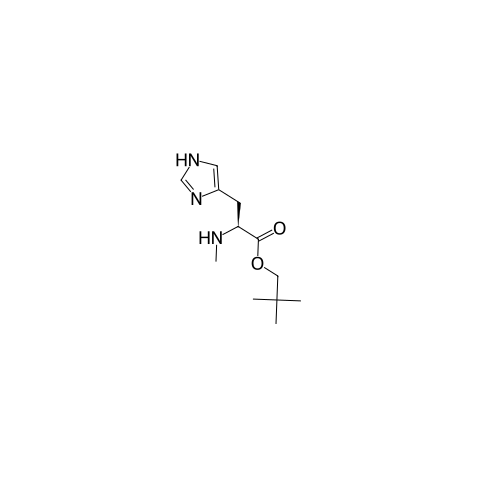 CN[C@@H](Cc1c[nH]cn1)C(=O)OCC(C)(C)C